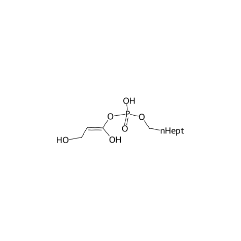 CCCCCCCCOP(=O)(O)OC(O)=CCO